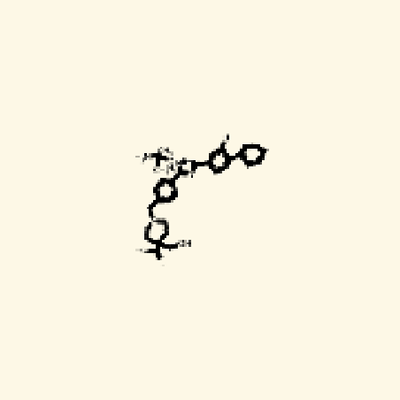 CC(C)(C)N.O=C(O)C1(CO)CCN(Cc2ccc(-c3noc(-c4ccc(-c5ccccc5)c(Cl)c4)n3)cc2)CC1